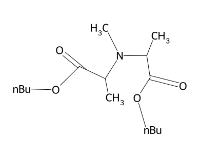 CCCCOC(=O)C(C)N(C)C(C)C(=O)OCCCC